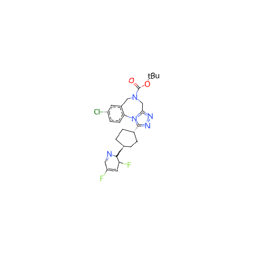 CC(C)(C)OC(=O)N1Cc2cc(Cl)ccc2-n2c(nnc2[C@H]2CC[C@H](C3N=CC(F)=CC3F)CC2)C1